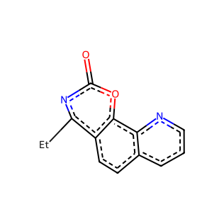 CCc1nc(=O)oc2c1ccc1cccnc12